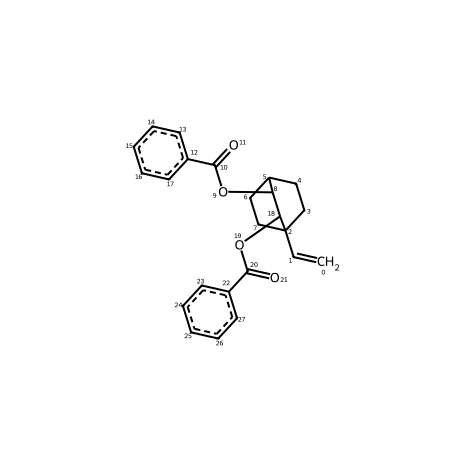 C=CC12CCC(CC1)C(OC(=O)c1ccccc1)C2OC(=O)c1ccccc1